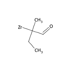 CC[C](C)([Zr])C=O